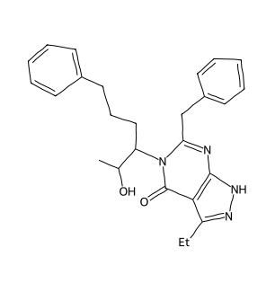 CCc1n[nH]c2nc(Cc3ccccc3)n(C(CCCc3ccccc3)C(C)O)c(=O)c12